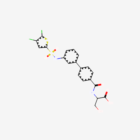 O=C(NC(CO)C(=O)O)c1ccc(-c2cccc(NS(=O)(=O)c3cc(Cl)c(Cl)s3)c2)cc1